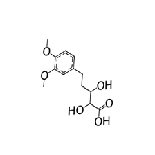 COc1ccc(CCC(O)C(O)C(=O)O)cc1OC